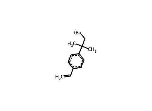 C=Cc1ccc(C(C)(C)CC(C)(C)C)cc1